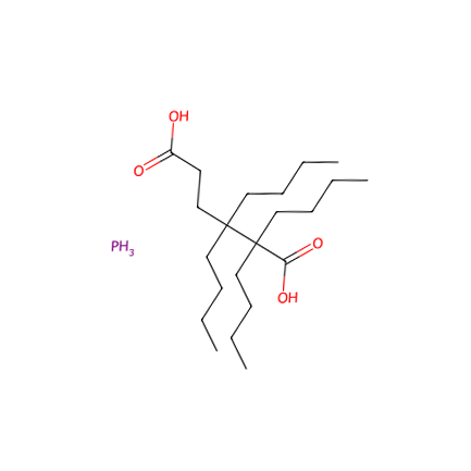 CCCCC(CCCC)(CCC(=O)O)C(CCCC)(CCCC)C(=O)O.P